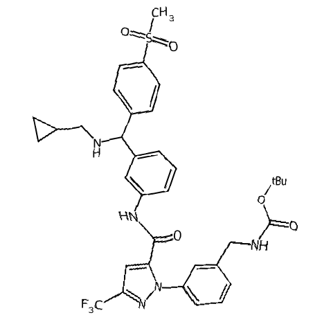 CC(C)(C)OC(=O)NCc1cccc(-n2nc(C(F)(F)F)cc2C(=O)Nc2cccc(C(NCC3CC3)c3ccc(S(C)(=O)=O)cc3)c2)c1